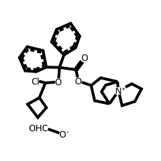 O=C(OC1CC2CCC(C1)[N+]21CCCC1)C(OC(Cl)C1CCC1)(c1ccccc1)c1ccccc1.O=C[O-]